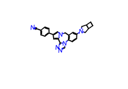 N#Cc1ccc(-c2cc3n(c2)Cc2cc(N4CC5CCC5C4)ccc2-n2cnnc2-3)cc1